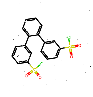 O=S(=O)(Cl)c1cccc(-c2ccccc2-c2cccc(S(=O)(=O)Cl)c2)c1